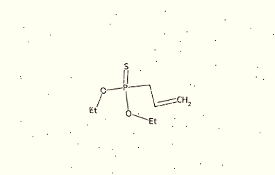 C=CCP(=S)(OCC)OCC